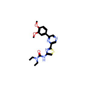 CCN(CC)C(=O)Nc1csc(-c2cncc(-c3ccc(OC)c(OC)c3)n2)n1